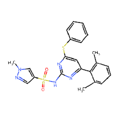 Cc1cccc(C)c1-c1cc(Sc2ccccc2)nc(NS(=O)(=O)c2cnn(C)c2)n1